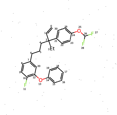 C=CC(CC)(CCCc1ccc(F)c(Oc2ccccc2)c1)c1ccc(OC(F)F)cc1